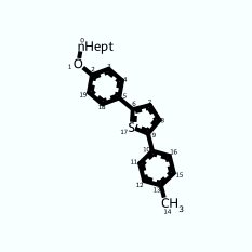 CCCCCCCOc1ccc(-c2ccc(-c3ccc(C)cc3)s2)cc1